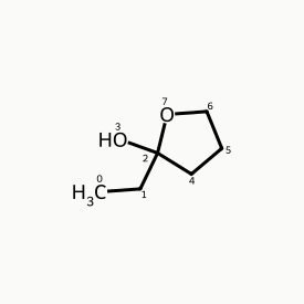 CCC1(O)CCCO1